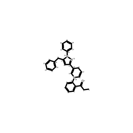 CCC(=O)c1ccccc1N1C=CCC(c2cc(Cc3ccccc3)n(-c3ccccc3)n2)=C1